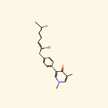 Cc1cn(C)cc(-c2ccc(C/C(Br)=C/CCC(C)Br)cc2)c1=O